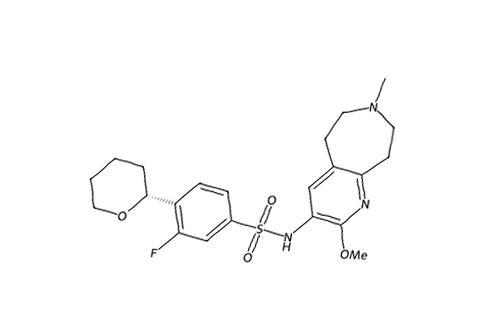 COc1nc2c(cc1NS(=O)(=O)c1ccc([C@H]3CCCCO3)c(F)c1)CCN(C)CC2